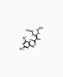 CC(C(=O)Oc1c(Br)cc(Br)cc1Br)=C(CCO)CCO